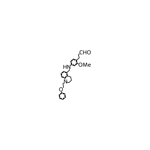 COc1cc(NCc2cccc3c2CCCN3CCOc2ccccc2)ccc1CCC=O